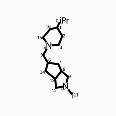 CC(C)C1CCN(CC2CC3CN(I)CC3C2)CC1